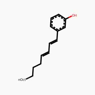 CCCCCCCCCCC/C=C/C=C/c1cccc(O)c1